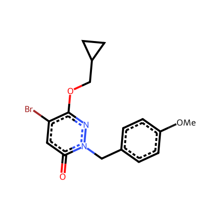 COc1ccc(Cn2nc(OCC3CC3)c(Br)cc2=O)cc1